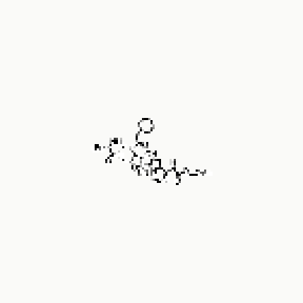 CC(=O)OCOC(=O)Nc1ncnn2c([C@]3(C#N)O[C@H](COC(=O)[C@@H](N)C(C)(C)C)[C@@H](OC(=O)CC4CCCCC4)[C@H]3O)ccc12